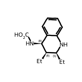 CC[C@@H]1[C@H](CC)Nc2ccccc2[C@@H]1NC(=O)O